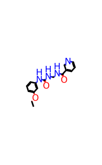 CCOc1cccc(NC(=O)NCNC(=O)c2cccnc2)c1